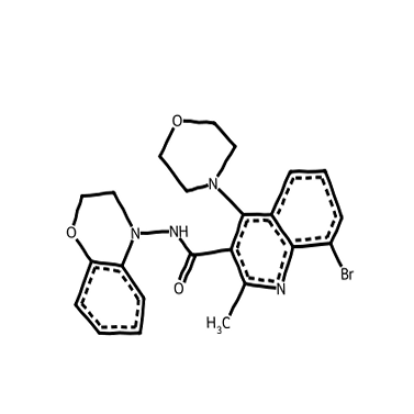 Cc1nc2c(Br)cccc2c(N2CCOCC2)c1C(=O)NN1CCOc2ccccc21